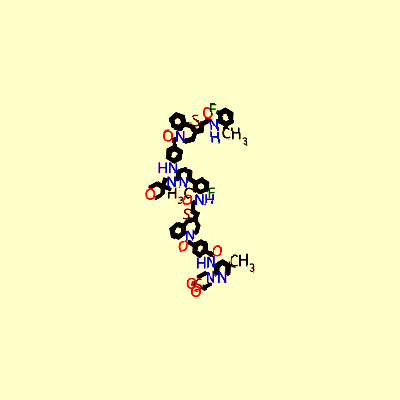 Cc1cnc(N2CCS(=O)(=O)CC2)c(NC(=O)c2ccc(C(=O)N3CCc4cc(C(=O)Nc5c(F)ccc(-c6ccc(Nc7ccc(C(=O)N8CCc9cc(C(=O)Nc%10c(C)cccc%10F)sc9-c9ccccc98)cc7)c(N7CC8(CCOCC8)C7)n6)c5C)sc4-c4ccccc43)cc2)c1